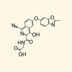 Cc1nc2ccc(Oc3ccc4c(C#N)nc(C(=O)NCC(=O)O)c(O)c4c3)cc2o1